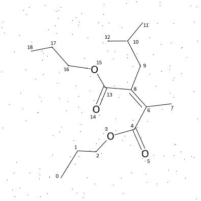 CCCOC(=O)C(C)=C(CC(C)C)C(=O)OCCC